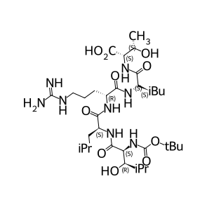 CC[C@H](C)[C@H](NC(=O)[C@@H](CCCNC(=N)N)NC(=O)[C@H](CC(C)C)NC(=O)[C@@H](NC(=O)OC(C)(C)C)[C@H](O)C(C)C)C(=O)N[C@H](C(=O)O)[C@H](C)O